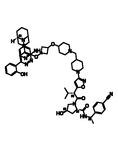 CC(C)[C@@H](C(=O)N1C[C@H](O)C[C@H]1C(=O)N[C@@H](C)c1ccc(C#N)cc1)c1cc(N2CCC(CN3CCC(OC4CC(Oc5cc(N6C7CCC[C@@H]6CN(c6cc(-c8ccccc8O)nnc6N)C7)ccn5)C4)CC3)CC2)no1